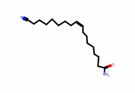 N#CCCCCCCC/C=C\CCCCCCCC(N)=O